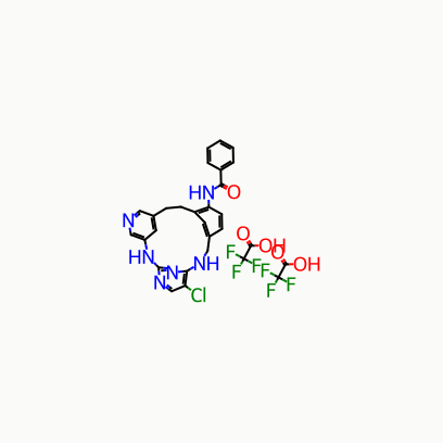 O=C(Nc1ccc2cc1CCc1cncc(c1)Nc1ncc(Cl)c(n1)NC2)c1ccccc1.O=C(O)C(F)(F)F.O=C(O)C(F)(F)F